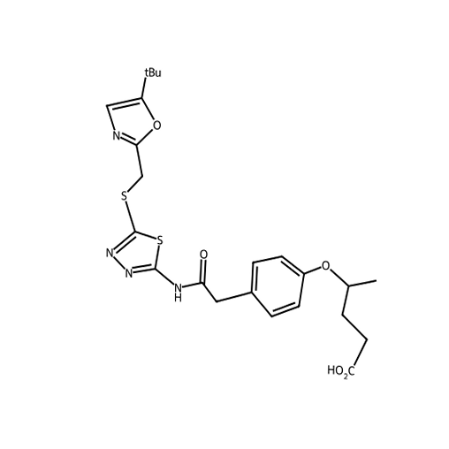 CC(CCC(=O)O)Oc1ccc(CC(=O)Nc2nnc(SCc3ncc(C(C)(C)C)o3)s2)cc1